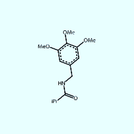 COc1cc(CNC(=O)C(C)C)cc(OC)c1OC